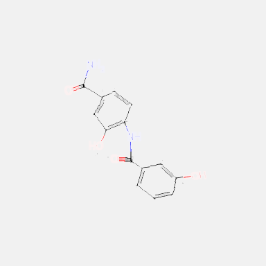 NC(=O)c1ccc(NC(=O)c2cccc(O)c2)c(O)c1